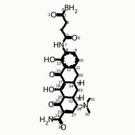 BC(=O)CCC(=O)Nc1ccc2c(c1O)C(=O)C1=C(O)C3C(=O)C(C(N)=O)=C[C@@H](N(C)C)[C@@H]3C[C@@H]1C2